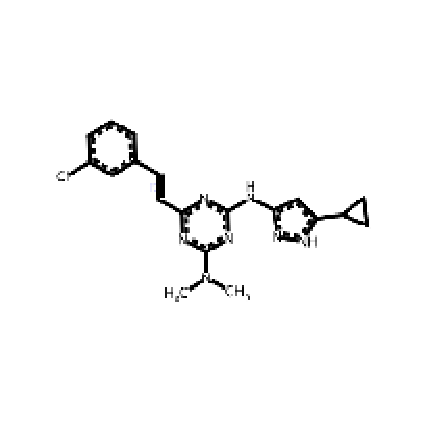 CN(C)c1nc(/C=C/c2cccc(Cl)c2)nc(Nc2cc(C3CC3)[nH]n2)n1